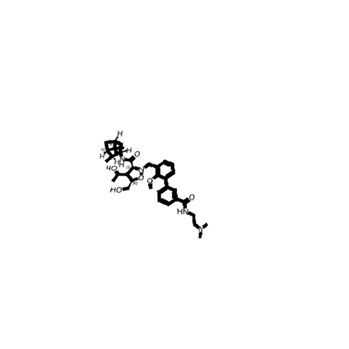 COc1c(CN2O[C@@H](CO)C(C(C)O)[C@H]2C(=O)N[C@H]2C[C@H]3C[C@@H]([C@@H]2C)C3(C)C)cccc1-c1cccc(C(=O)NCCN(C)C)c1